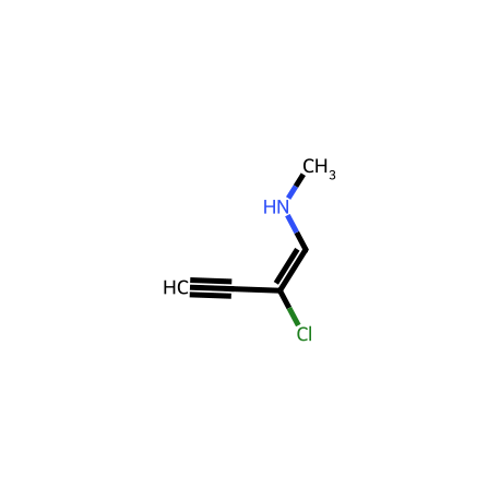 C#C/C(Cl)=C\NC